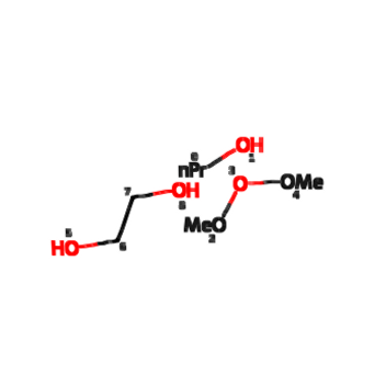 CCCO.COOOC.OCCO